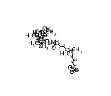 C[N+](C)(CCCCCC(=O)NCCC[Si](O[Si](C)(C)C)(O[Si](C)(C)C)O[Si](C)(C)C)CCCCCS(=O)(=O)[O-]